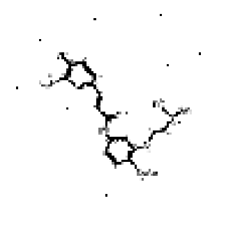 COc1ccc(NC(=O)/C=C/c2ccc(Cl)c([N+](=O)[O-])c2)cc1OCCN(C(C)C)C(C)C